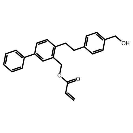 C=CC(=O)OCc1cc(-c2ccccc2)ccc1CCc1ccc(CO)cc1